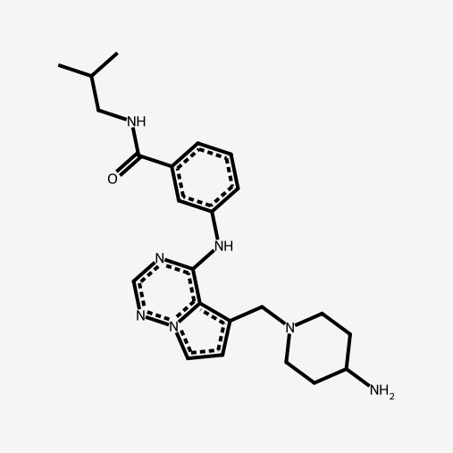 CC(C)CNC(=O)c1cccc(Nc2ncnn3ccc(CN4CCC(N)CC4)c23)c1